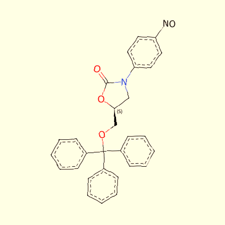 O=Nc1ccc(N2C[C@@H](COC(c3ccccc3)(c3ccccc3)c3ccccc3)OC2=O)cc1